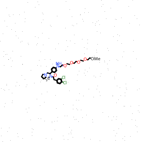 COCCOCCOCCOCCOCCN(N)c1ccc(C(CN2CCCC2)N(C)C(=O)Cc2ccc(Cl)c(Cl)c2)cc1